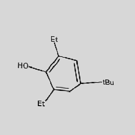 CCc1cc(C(C)(C)C)cc(CC)c1O